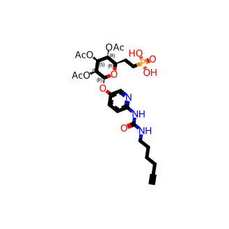 C#CCCCCNC(=O)Nc1ccc(O[C@H]2O[C@H](CCP(=O)(O)O)[C@@H](OC(C)=O)[C@H](OC(C)=O)[C@@H]2OC(C)=O)cn1